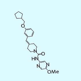 COc1cnc(NC(=O)N2CCC(=Cc3cccc(OCC4CCCC4)c3)CC2)cn1